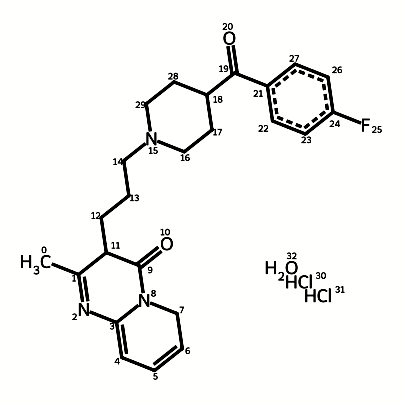 CC1=NC2=CC=CCN2C(=O)C1CCCN1CCC(C(=O)c2ccc(F)cc2)CC1.Cl.Cl.O